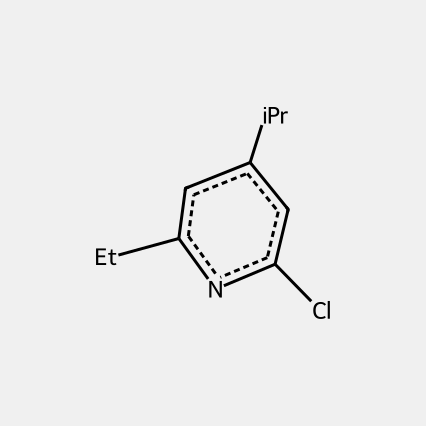 CCc1cc(C(C)C)cc(Cl)n1